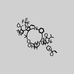 C=CC(=O)N1CC[C@H](C(=O)N(C)C(C(=O)N[C@H]2Cc3cccc(c3)N3C=Cc4c(c(c(-c5cnn(C)c5[C@H](C)OC)n4CC(F)(F)F)CC(C)(C)COC(=O)[C@@H]4CCCN(N4)C2=O)C3)C(C)C)C1